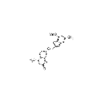 COc1cc(C)cc2cc(COc3ccc4c(C)cc(=O)oc4c3)oc12